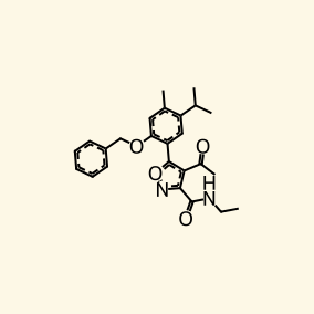 CCNC(=O)c1noc(-c2cc(C(C)C)c(C)cc2OCc2ccccc2)c1C(C)=O